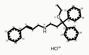 CCOC(CCNCC=Cc1ccccc1)(c1ccccc1)c1ccccc1.Cl